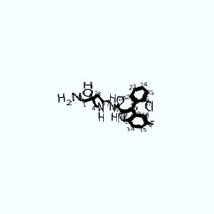 NCC1(O)CN[C@H](CNC(=O)c2[nH]c3ccc(F)cc3c2-c2ccccc2Cl)C1